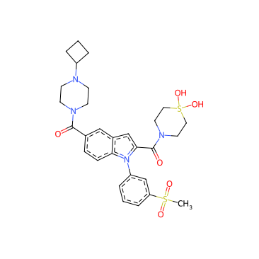 CS(=O)(=O)c1cccc(-n2c(C(=O)N3CCS(O)(O)CC3)cc3cc(C(=O)N4CCN(C5CCC5)CC4)ccc32)c1